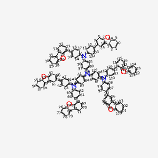 c1ccc2c(c1)oc1ccc(-c3ccc(N(c4ccc(-c5cccc6c5oc5ccccc56)cc4)c4ccc(N(c5ccc(N(c6ccc(-c7ccc8oc9ccccc9c8c7)cc6)c6ccc(-c7cccc8c7oc7ccccc78)cc6)cc5)c5ccc(N(c6ccc(-c7ccc8oc9ccccc9c8c7)cc6)c6ccc(-c7cccc8c7oc7ccccc78)cc6)cc5)cc4)cc3)cc12